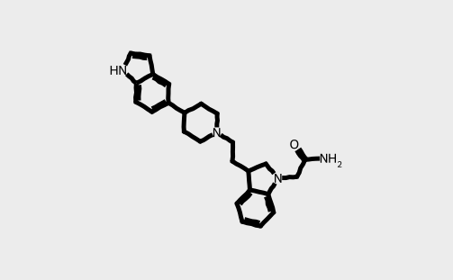 NC(=O)CN1CC(CCN2CCC(c3ccc4[nH]ccc4c3)CC2)c2ccccc21